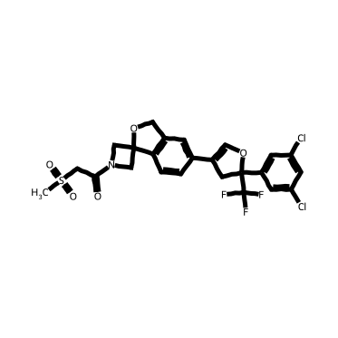 CS(=O)(=O)CC(=O)N1CC2(C1)OCc1cc(C3=COC(c4cc(Cl)cc(Cl)c4)(C(F)(F)F)C3)ccc12